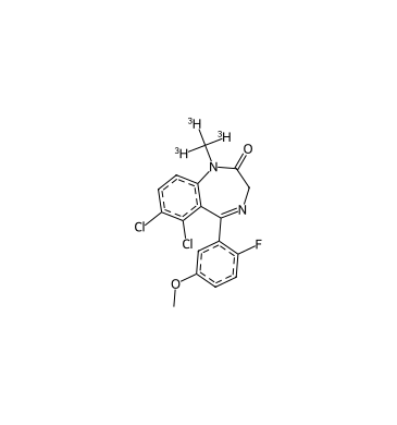 [3H]C([3H])([3H])N1C(=O)CN=C(c2cc(OC)ccc2F)c2c1ccc(Cl)c2Cl